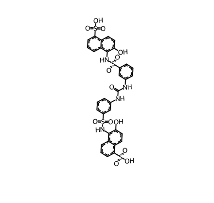 O=C(Nc1cccc(S(=O)(=O)Nc2c(O)ccc3c(S(=O)(=O)O)cccc23)c1)Nc1cccc(S(=O)(=O)Nc2c(O)ccc3c(S(=O)(=O)O)cccc23)c1